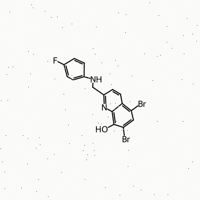 Oc1c(Br)cc(Br)c2ccc(CNc3ccc(F)cc3)nc12